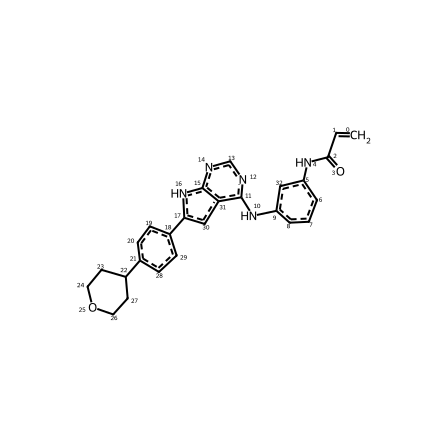 C=CC(=O)Nc1cccc(Nc2ncnc3[nH]c(-c4ccc(C5CCOCC5)cc4)cc23)c1